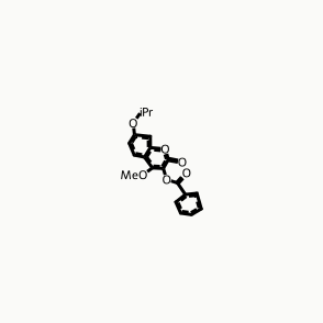 COc1c(OC(=O)c2ccccc2)c(=O)oc2cc(OC(C)C)ccc12